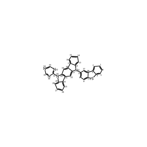 c1ccc2c(c1)sc1ccc(-n3c4ccccc4c4cc5c(cc43)c3ccccc3n5-c3ncncn3)cc12